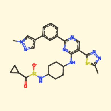 Cc1nnc(-c2cnc(-c3cccc(-c4cnn(C)c4)c3)nc2NC2CCC(N[S+]([O-])C(=O)C3CC3)CC2)s1